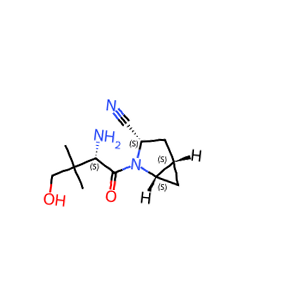 CC(C)(CO)[C@H](N)C(=O)N1[C@H](C#N)C[C@@H]2C[C@@H]21